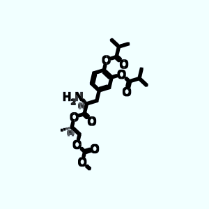 COC(=O)OC[C@H](C)OC(=O)[C@@H](N)Cc1ccc(OC(=O)C(C)C)c(OC(=O)C(C)C)c1